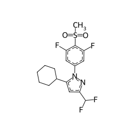 CS(=O)(=O)c1c(F)cc(-n2nc(C(F)F)cc2C2CCCCC2)cc1F